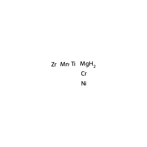 [Cr].[MgH2].[Mn].[Ni].[Ti].[Zr]